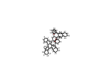 N#Cc1cc(-n2c3ccccc3c3c4oc5ccccc5c4c4c5ccccc5n(-c5ccccc5)c4c32)ccc1-c1nc2ccccc2nc1-c1ccccc1